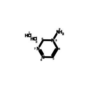 Cl.Cl.NN1C=CN=NC1